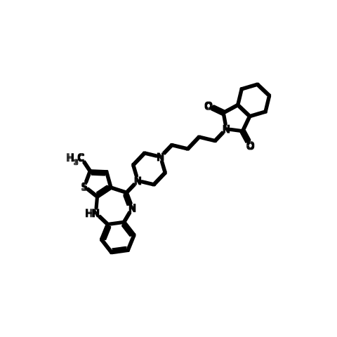 Cc1cc2c(s1)Nc1ccccc1N=C2N1CCN(CCCCN2C(=O)C3CCCCC3C2=O)CC1